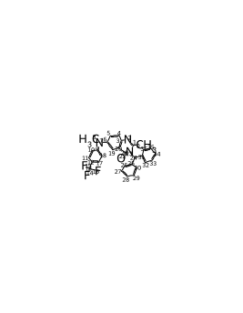 Cc1nc2ccc(N(C)c3ccc(C(F)(F)F)cc3)cc2c(=O)n1C(c1ccccc1)c1ccccc1